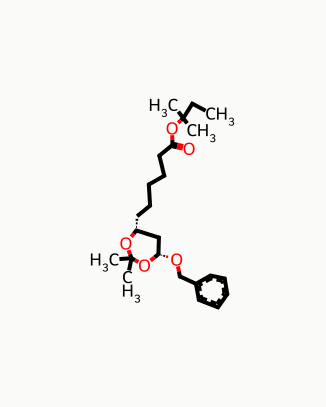 CCC(C)(C)OC(=O)CCCCC[C@@H]1C[C@H](OCc2ccccc2)OC(C)(C)O1